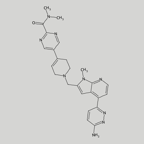 CN(C)C(=O)c1ncc(C2=CCN(Cc3cc4c(-c5ccc(N)nn5)ccnc4n3C)CC2)cn1